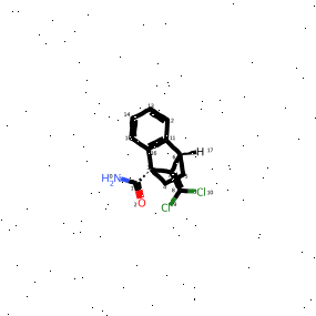 NC(=O)[C@@]12CC[C@H](C1=C(Cl)Cl)c1[c]cccc12